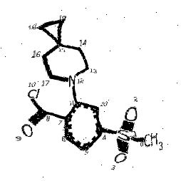 CS(=O)(=O)c1ccc(C(=O)Cl)c(N2CCC3(CC2)CC3)c1